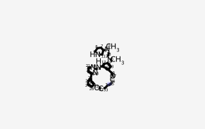 CN(CCN(C)C1CCCNC1)c1cc2cc(c1)Nc1nccc(n1)-c1cccc(c1)OCC/C=C/COC2